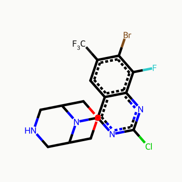 Fc1c(Br)c(C(F)(F)F)cc2c(N3C4CNCC3COC4)nc(Cl)nc12